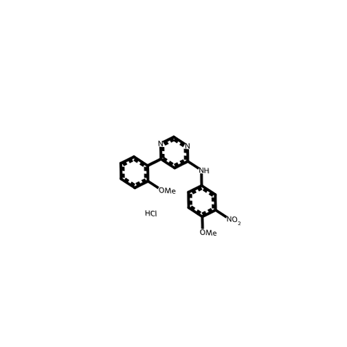 COc1ccccc1-c1cc(Nc2ccc(OC)c([N+](=O)[O-])c2)ncn1.Cl